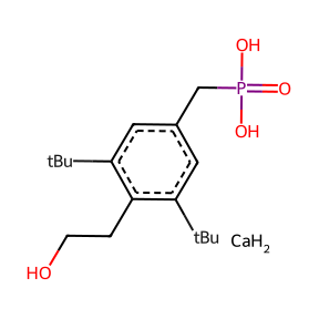 CC(C)(C)c1cc(CP(=O)(O)O)cc(C(C)(C)C)c1CCO.[CaH2]